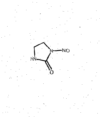 O=NN1CCNC1=O